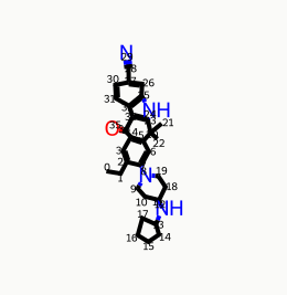 CCc1cc2c(cc1N1CCC(NC3CCCC3)CC1)C(C)(C)c1[nH]c3cc(C#N)ccc3c1C2=O